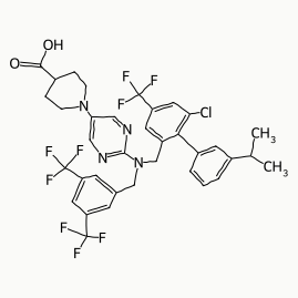 CC(C)c1cccc(-c2c(Cl)cc(C(F)(F)F)cc2CN(Cc2cc(C(F)(F)F)cc(C(F)(F)F)c2)c2ncc(N3CCC(C(=O)O)CC3)cn2)c1